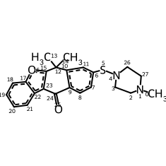 CN1CCN(Sc2ccc3c(c2)C(C)(C)c2oc4ccccc4c2C3=O)CC1